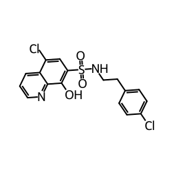 O=S(=O)(NCCc1ccc(Cl)cc1)c1cc(Cl)c2cccnc2c1O